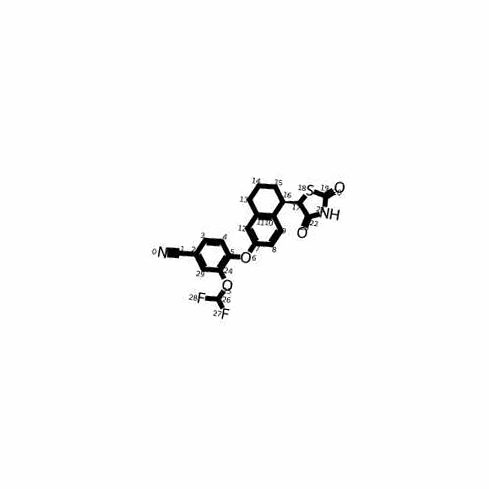 N#Cc1ccc(Oc2ccc3c(c2)CCC[C@H]3C2SC(=O)NC2=O)c(OC(F)F)c1